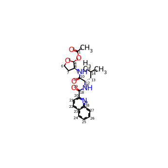 CC(=O)O[C@@H]1OCC[C@@H]1NC(=O)[C@H](CC(C)C)NC(=O)c1ccc2ccccc2n1